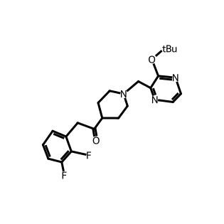 CC(C)(C)Oc1nccnc1CN1CCC(C(=O)Cc2cccc(F)c2F)CC1